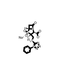 C[C@]1(CSc2nnnn2-c2ccccc2)[C@H](C(=O)[O-])N2C(=O)C[C@H]2S1(=O)=O.[Na+]